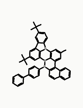 Cc1cc2c3c(c1)-n1c4ccc(C(C)(C)C)cc4c4cc(C(C)(C)C)cc(c41)B3N(c1ccc(-c3ccccc3)cc1)c1ccc3ccccc3c1-2